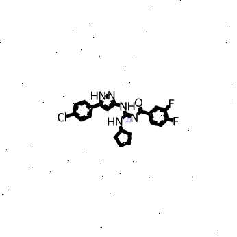 O=C(/N=C(\Nc1cc(-c2ccc(Cl)cc2)[nH]n1)NC1CCCC1)c1ccc(F)c(F)c1